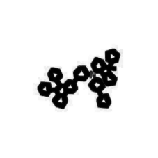 CC1(c2ccccc2)c2ccccc2-c2c(N(c3ccc(-c4ccccc4)cc3)c3cccc(-c4ccc5c(c4)c(-c4ccccc4)c(-c4ccccc4)c4ccccc45)c3)cccc21